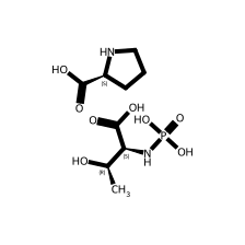 C[C@@H](O)[C@H](NP(=O)(O)O)C(=O)O.O=C(O)[C@@H]1CCCN1